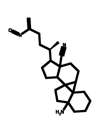 C=C(CC[C@@H](C)C1CCC2C1(C#N)CCC1C23CCC2(N)CCCCC123)N=O